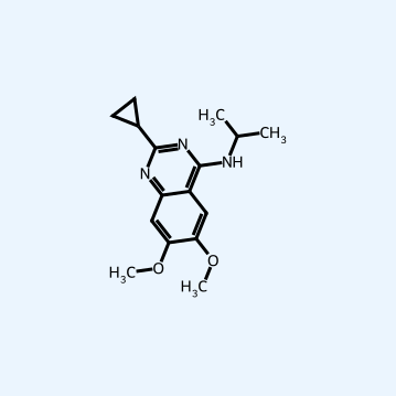 COc1cc2nc(C3CC3)nc(NC(C)C)c2cc1OC